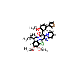 COc1ccc(-c2ccsc2)cc1Cc1c(C[N+](C=O)(CCC(C)C)c2ccc(OC)c(OC)c2Cl)nc2ccccn12